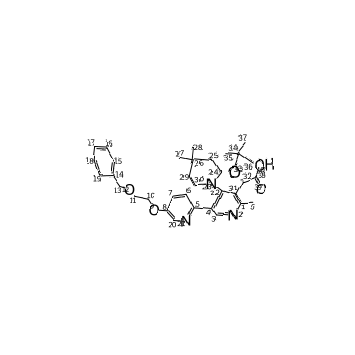 Cc1ncc(-c2ccc(OCCOCc3ccccc3)cn2)c(N2CCC(C)(C)CC2)c1[C@H](OC(C)(C)C)C(=O)O